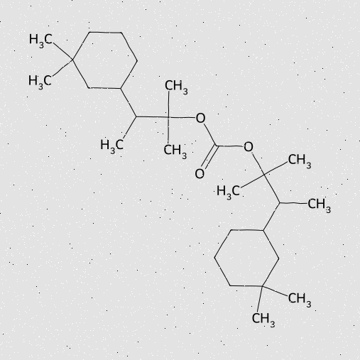 CC(C1CCCC(C)(C)C1)C(C)(C)OC(=O)OC(C)(C)C(C)C1CCCC(C)(C)C1